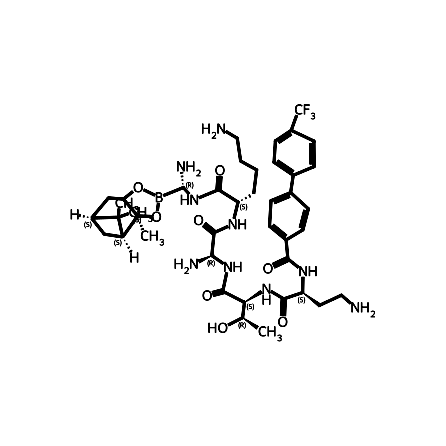 C[C@@H](O)[C@H](NC(=O)[C@H](CCN)NC(=O)c1ccc(-c2ccc(C(F)(F)F)cc2)cc1)C(=O)N[C@@H](N)C(=O)N[C@@H](CCCCN)C(=O)N[C@@H](N)B1OC2C[C@@H]3C[C@@H](C3(C)C)[C@]2(C)O1